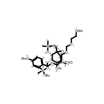 COCCOCOC[C@H](C=O)[C@@H](OC(C)=O)[C@H](CO[Si](C)(C)C(C)(C)C)[C@H](O[Si](C)(C)C(C)(C)C)C1(C)O[C@@H]1[C@@H](C)COCc1ccc(OC)cc1